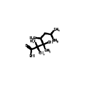 CC(C)CC(C)C(C)(O)C(C)(C)C(=O)O